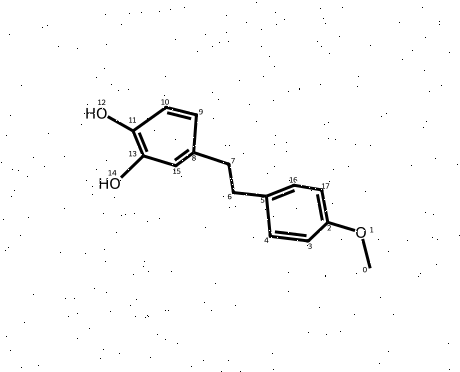 COc1ccc(CCc2ccc(O)c(O)c2)cc1